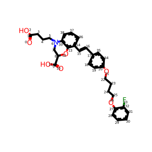 O=C(O)CCCN1CC(C(=O)O)Oc2c(C=Cc3ccc(OCCCCOc4ccccc4F)cc3)cccc21